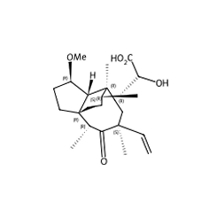 C=C[C@]1(C)C[C@@H](C(O)C(=O)O)[C@@]2(C)[C@H](C)CC[C@]3(CC[C@@H](OC)[C@@H]32)[C@@H](C)C1=O